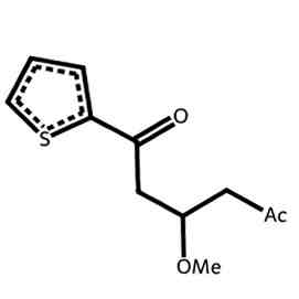 COC(CC(C)=O)CC(=O)c1cccs1